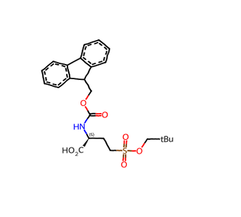 CC(C)(C)COS(=O)(=O)CC[C@H](NC(=O)OCC1c2ccccc2-c2ccccc21)C(=O)O